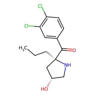 CCC[C@@]1(C(=O)c2ccc(Cl)c(Cl)c2)C[C@@H](O)CN1